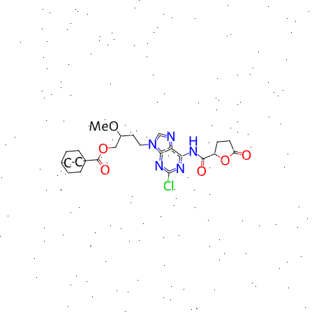 COC(CCn1cnc2c(NC(=O)C3CCC(=O)O3)nc(Cl)nc21)COC(=O)C12CCC(CC1)CC2